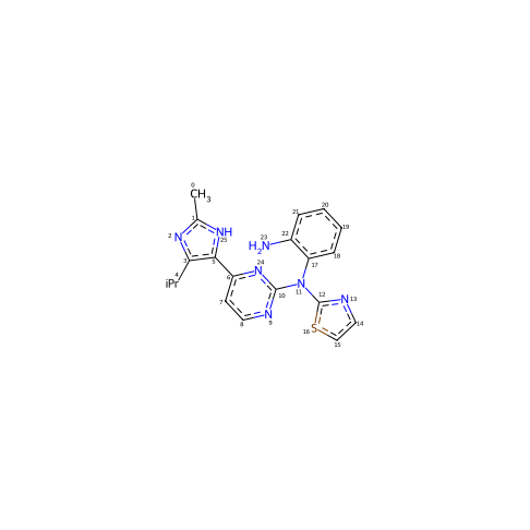 Cc1nc(C(C)C)c(-c2ccnc(N(c3nccs3)c3ccccc3N)n2)[nH]1